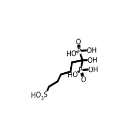 O=P(O)(O)C(O)(CCCCCS(=O)(=O)O)P(=O)(O)O